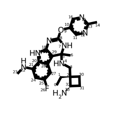 CC[C@@]1(CNC2(C)NC(Oc3cnc(C)nc3)=Nc3[nH]c4c(NC)cc(F)cc4c32)CC[C@@H]1N